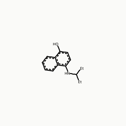 CCC(CC)Nc1ccc(O)c2ccccc12